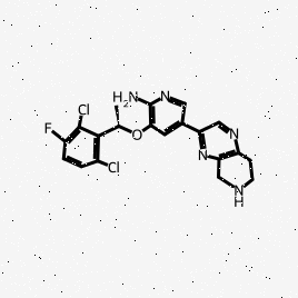 C[C@@H](Oc1cc(-c2cnc3c(n2)CNCC3)cnc1N)c1c(Cl)ccc(F)c1Cl